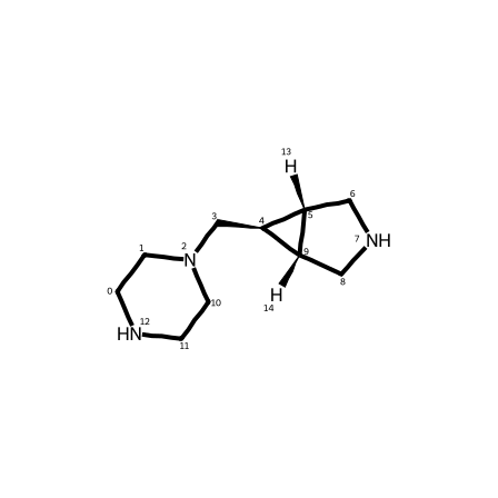 C1CN(C[C@H]2[C@@H]3CNC[C@@H]32)CCN1